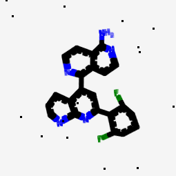 Nc1nccc2c(-c3cc(-c4c(F)cccc4F)nc4ncccc34)nccc12